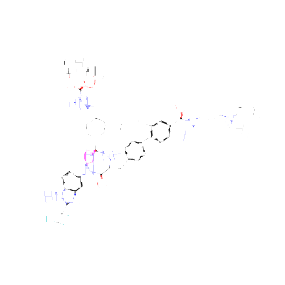 Cc1cc(C(=O)NCCCN(C)C)ccc1-c1ccc(C[C@H](NC(=O)[C@H]2CC[C@H](CNC(=O)OC(C)(C)C)CC2)C(=O)Nc2ccc3[nH]c(C(F)(F)C(F)(F)F)nc3c2)cc1